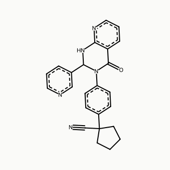 N#CC1(c2ccc(N3C(=O)c4cccnc4NC3c3cccnc3)cc2)CCCC1